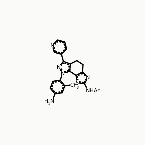 CC(=O)Nc1nc2c(s1)-c1c(c(-c3cccnc3)nn1-c1ccc(N)cc1C(F)(F)F)CC2